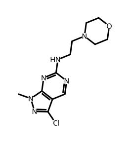 Cn1nc(Cl)c2cnc(NCCN3CCOCC3)nc21